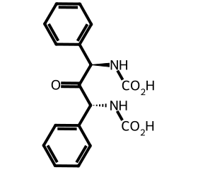 O=C(O)N[C@@H](C(=O)[C@H](NC(=O)O)c1ccccc1)c1ccccc1